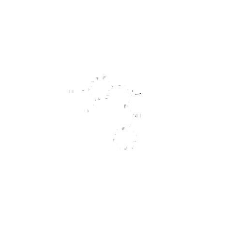 O=C(O)[C@H](Cc1ccc(O)c(O)c1)NNc1ccccc1